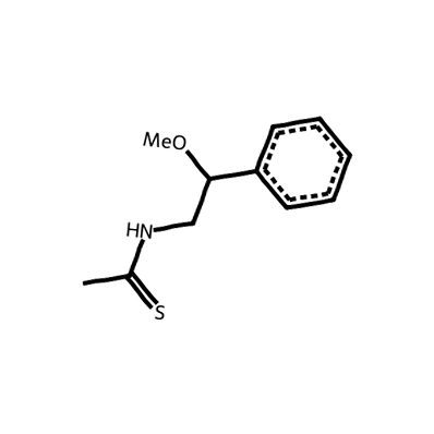 COC(CNC(C)=S)c1ccccc1